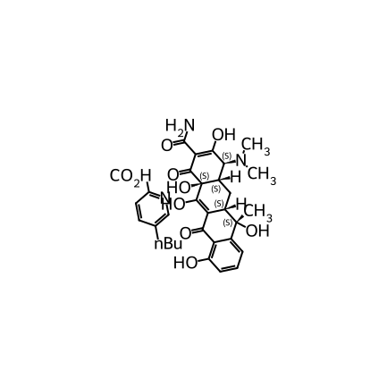 CCCCc1ccc(C(=O)O)nc1.CN(C)[C@@H]1C(O)=C(C(N)=O)C(=O)[C@@]2(O)C(O)=C3C(=O)c4c(O)cccc4[C@@](C)(O)[C@H]3C[C@@H]12